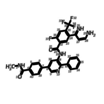 CNC(=O)c1ccc(-c2cnc(-c3ccccc3)c(NC(=O)c3cc(C(=N)/C=C\N)c(C(F)(F)F)cc3F)c2)cc1